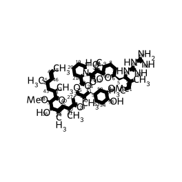 C/C=C(/C)[C@@H](C[C@@H]1CC[C@@H](C)[C@](O)(C(=O)C(=O)N2CCCCC2C(=O)O[C@@H](CC(=O)[C@H](C)/C=C(\C)[C@@H](O)[C@@H](OC)C(=O)[C@H](C)C[C@H](C)/C=C/C)C(C)C[C@H]2CC[C@@H](O)[C@H](OC)C2)O1)NC(=N)NC(=N)N